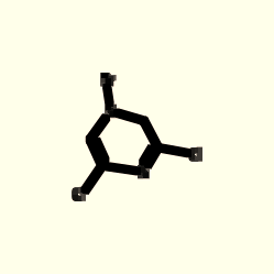 ClC1=CN(Br)CC(Cl)=N1